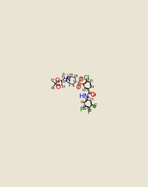 C[C@H]1CC2C[C@@H](S(=O)(=O)c3cc(C(=O)Nc4cc(F)c(F)c(F)c4)ccc3Cl)CC1N2C[C@H]1COC(C)(C)O1